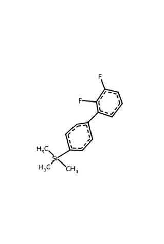 C[Si](C)(C)c1ccc(-c2cccc(F)c2F)cc1